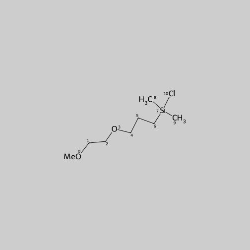 COCCOCCC[Si](C)(C)Cl